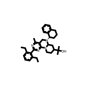 CCc1cccc(CC)c1-c1nc(C)c2c(n1)N1CCC(C(C)(C)O)CC1N([C@H]1CCCc3ccccc31)C2